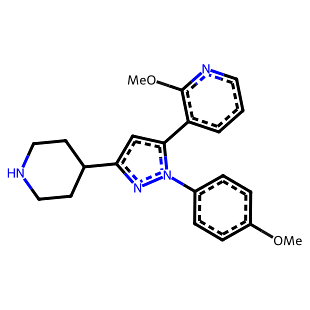 COc1ccc(-n2nc(C3CCNCC3)cc2-c2cccnc2OC)cc1